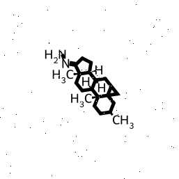 C[C@H]1CC[C@]2(C)[C@H]3CC[C@]4(C)/C(=N/N)CC[C@H]4[C@@H]3CC3CC32C1